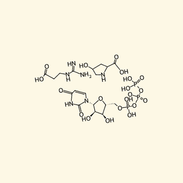 N=C(N)NCCC(=O)O.O=C(O)C1CC(O)CN1.O=c1ccn([C@@H]2O[C@H](COP(=O)(O)OP(=O)(O)OP(=O)(O)O)[C@@H](O)[C@H]2O)c(=O)[nH]1